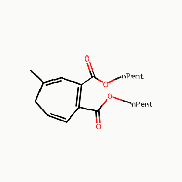 CCCCCOC(=O)C1=C(C(=O)OCCCCC)C=C(C)CC=C1